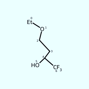 CCOCCC(O)C(F)(F)F